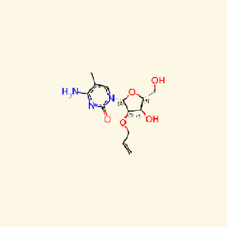 C=CCO[C@@H]1[C@H](O)[C@@H](CO)O[C@H]1n1cc(C)c(N)nc1=O